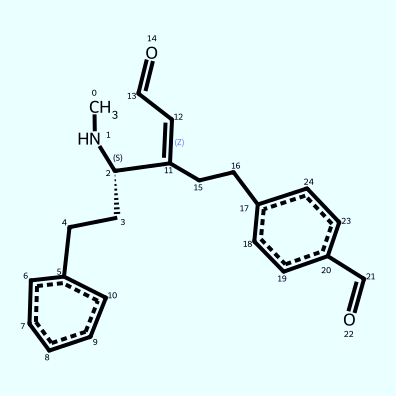 CN[C@@H](CCc1ccccc1)/C(=C\C=O)CCc1ccc(C=O)cc1